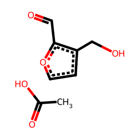 CC(=O)O.O=Cc1occc1CO